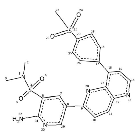 CN(C)S(=O)(=O)c1cc(-c2ccc3nccc(-c4ccc(S(C)(=O)=O)cc4)c3n2)cnc1N